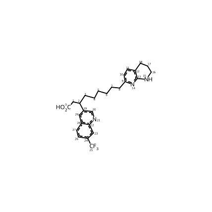 O=C(O)CC(CCCCCCc1ccc2c(n1)NCCC2)c1cnc2cc(C(F)(F)F)ccc2c1